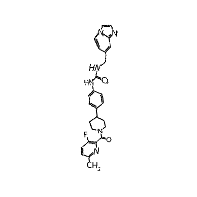 Cc1ccc(F)c(C(=O)N2CCC(c3ccc(NC(=O)NCc4ccn5ccnc5c4)cc3)CC2)n1